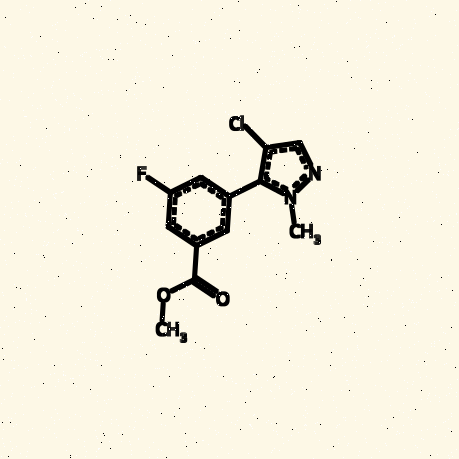 COC(=O)c1cc(F)cc(-c2c(Cl)cnn2C)c1